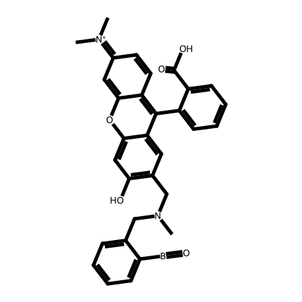 CN(Cc1cc2c(-c3ccccc3C(=O)O)c3ccc(=[N+](C)C)cc-3oc2cc1O)Cc1ccccc1B=O